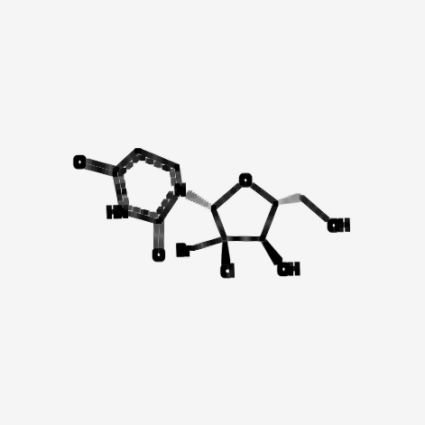 O=c1ccn([C@@H]2O[C@H](CO)[C@@H](O)[C@]2(Cl)Br)c(=O)[nH]1